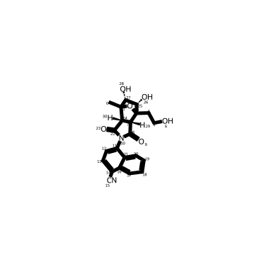 CC12OC(CCO)([C@@H]3C(=O)N(c4ccc(C#N)c5ccccc45)C(=O)[C@@H]31)[C@@H](O)[C@H]2O